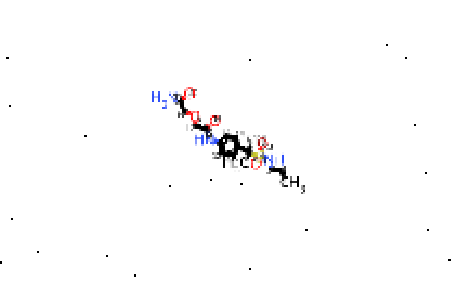 CCCNS(=O)(=O)C(C)(C)c1ccc(NC(=O)COCC(N)=O)cc1